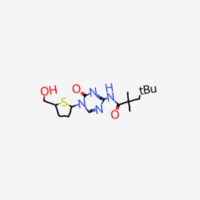 CC(C)(C)CC(C)(C)C(=O)Nc1ncn(C2CCC(CO)S2)c(=O)n1